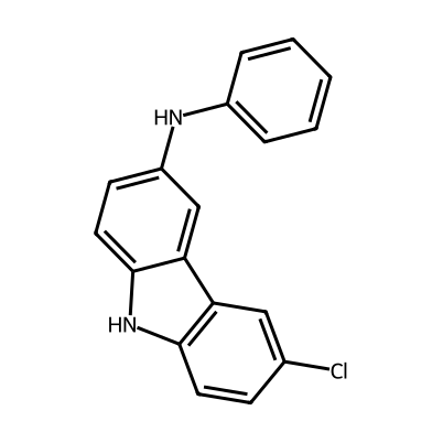 Clc1ccc2[nH]c3ccc(Nc4ccccc4)cc3c2c1